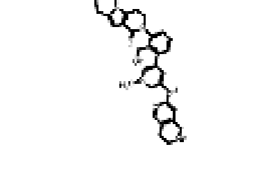 CN1C=C(c2cccc(N3CCc4c(cc5n4CCCC5)C3=O)c2CO)C=C(Nc2cc3c(cn2)CCNC3)C1